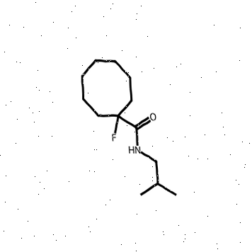 CC(C)CNC(=O)C1(F)CCCCCCC1